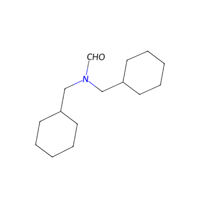 O=CN(CC1CCCCC1)CC1CCCCC1